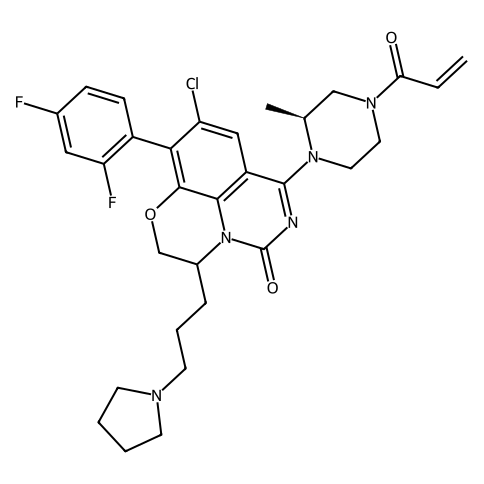 C=CC(=O)N1CCN(c2nc(=O)n3c4c(c(-c5ccc(F)cc5F)c(Cl)cc24)OCC3CCCN2CCCC2)[C@@H](C)C1